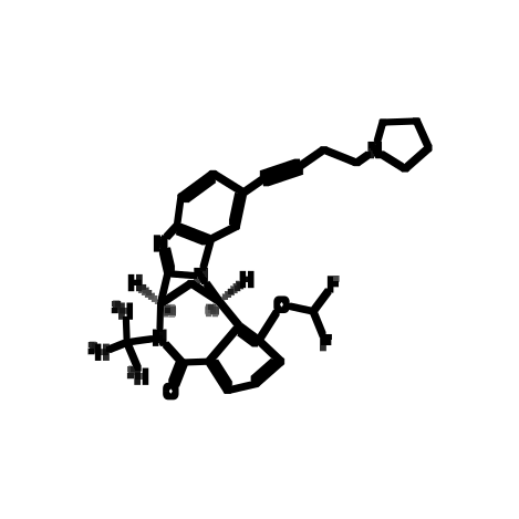 [2H]C([2H])([2H])N1C(=O)c2cccc(OC(F)F)c2[C@H]2C[C@@H]1c1nc3ccc(C#CCCN4CCCC4)cc3n12